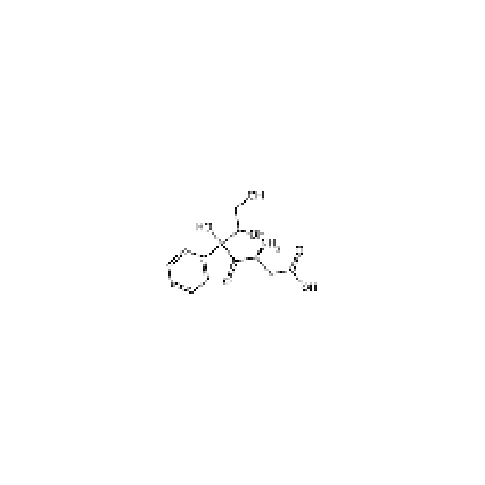 N[C@@H](CC(=O)O)C(=O)C(O)(c1ccccc1)C(O)CO